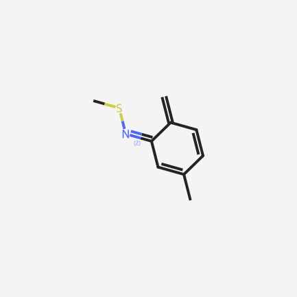 C=C1C=CC(C)=C/C1=N/SC